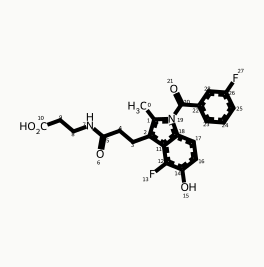 Cc1c(CCC(=O)NCCC(=O)O)c2c(F)c(O)ccc2n1C(=O)c1cccc(F)c1